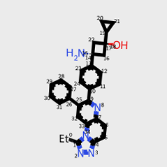 CCc1nnc2ccc3nc(-c4ccc([C@]5(N)C[C@@](O)(C6CC6)C5)cc4)c(-c4ccccc4)cc3n12